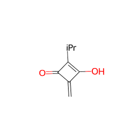 C=C1C(=O)C(C(C)C)=C1O